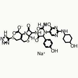 NC(=O)N(c1cnc(NC2CCC(O)CC2)nc1O)C(C(=O)NC1C(=O)N2C(C(=O)[O-])=C(CSc3nnn[nH]3)CS[C@@H]12)c1ccc(O)cc1.[Na+]